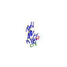 N#CCC(C1CCN(c2nc(Cl)c(F)cc2NC=O)C1)n1cc(-c2ncnc3[nH]ccc23)cn1